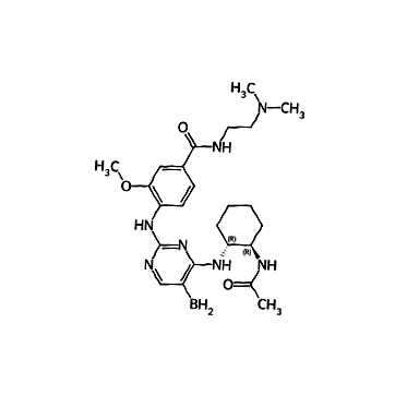 Bc1cnc(Nc2ccc(C(=O)NCCN(C)C)cc2OC)nc1N[C@@H]1CCCC[C@H]1NC(C)=O